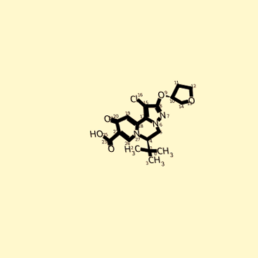 CC(C)(C)[C@@H]1Cn2nc(O[C@@H]3CCOC3)c(Cl)c2-c2cc(=O)c(C(=O)O)cn21